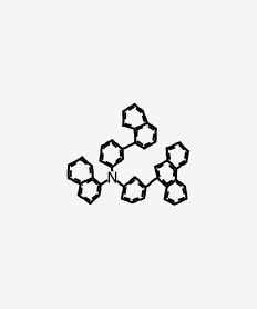 c1cc(-c2cccc3ccccc23)cc(N(c2cccc(-c3cc4ccccc4c4ccccc34)c2)c2cccc3ccccc23)c1